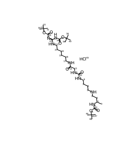 CC(CCNCCCCNC(=O)NCC(=O)NCCCCCCN/C(=N/C(=O)OC(C)(C)C)NC(=O)OC(C)(C)C)NC(=O)OC(C)(C)C.Cl